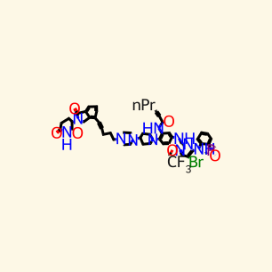 CCCC#CC(=O)Nc1cc(Nc2ncc(Br)c(Nc3ccccc3P(C)(C)=O)n2)c(OCC(F)(F)F)cc1N1CCC(N2CCN(CCCC#Cc3cccc4c3CN(C3CCC(=O)NC3=O)C4=O)CC2)CC1